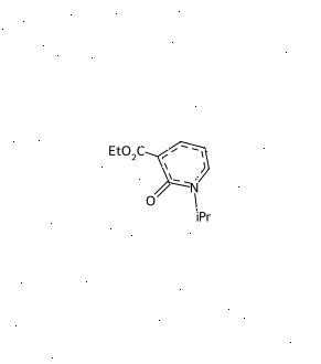 CCOC(=O)c1cccn(C(C)C)c1=O